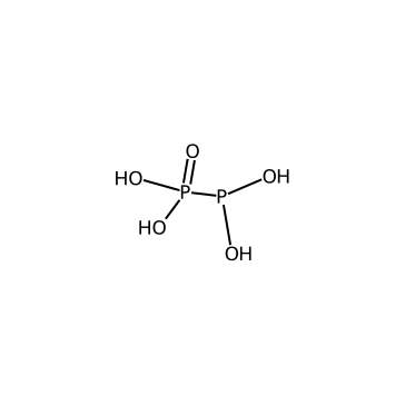 O=P(O)(O)P(O)O